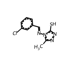 Cc1nnc(S)n1N=Cc1cccc(Cl)c1